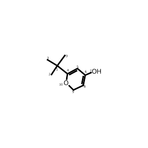 CC(C)(C)C1=CC(O)=CCO1